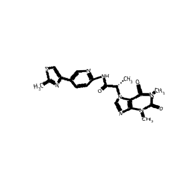 Cc1nc(-c2ccc(NC(=O)[C@H](C)n3cnc4c3c(=O)n(C)c(=O)n4C)nc2)cs1